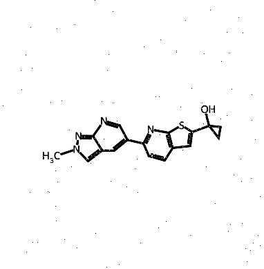 Cn1cc2cc(-c3ccc4cc(C5(O)CC5)sc4n3)cnc2n1